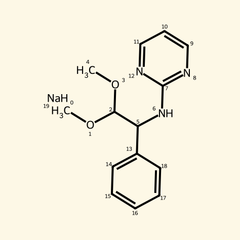 COC(OC)C(Nc1ncccn1)c1ccccc1.[NaH]